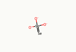 [O-][Sb]([O-])([O-])=[Se]